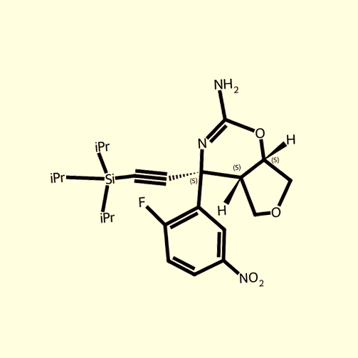 CC(C)[Si](C#C[C@]1(c2cc([N+](=O)[O-])ccc2F)N=C(N)O[C@@H]2COC[C@@H]21)(C(C)C)C(C)C